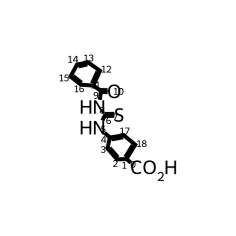 O=C(O)c1ccc(NC(=S)NC(=O)c2ccccc2)cc1